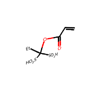 C=CC(=O)OC(CC)(S(=O)(=O)O)S(=O)(=O)O